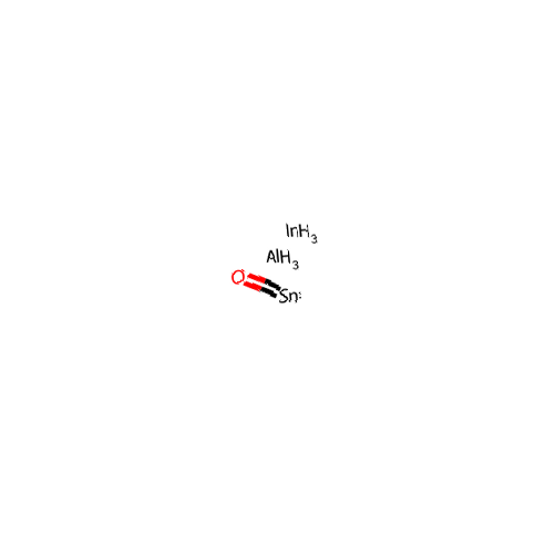 [AlH3].[InH3].[O]=[Sn]